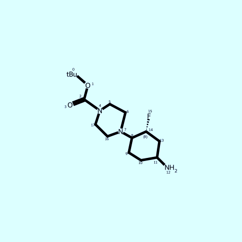 CC(C)(C)OC(=O)N1CCN(C2CCC(N)C[C@H]2F)CC1